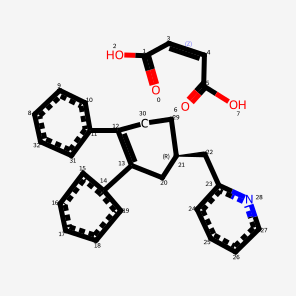 O=C(O)/C=C\C(=O)O.c1ccc(C2=C(c3ccccc3)C[C@H](Cc3ccccn3)CC2)cc1